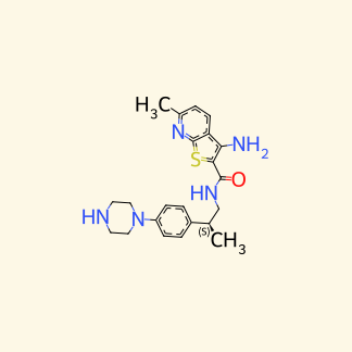 Cc1ccc2c(N)c(C(=O)NC[C@@H](C)c3ccc(N4CCNCC4)cc3)sc2n1